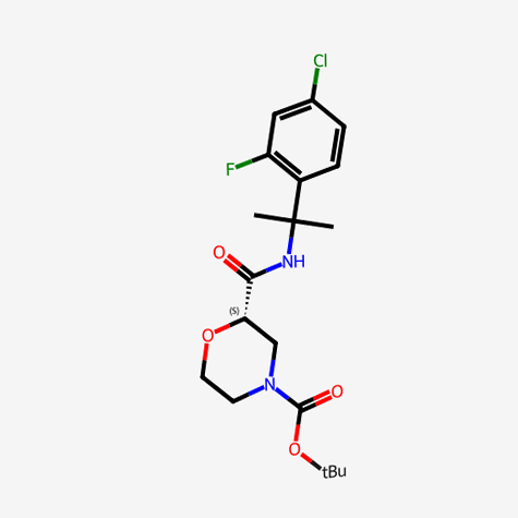 CC(C)(C)OC(=O)N1CCO[C@H](C(=O)NC(C)(C)c2ccc(Cl)cc2F)C1